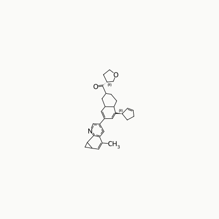 CC1=CC2CC2c2ncc(C3=CC4CC(C(=O)[C@@H]5CCOC5)CCC4C([C@H]4C=CCC4)=C3)cc21